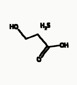 O=C(O)CCO.S